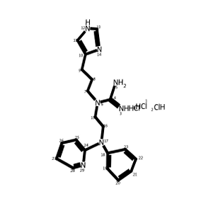 Cl.Cl.Cl.N=C(N)N(CCCc1c[nH]cn1)CCN(c1ccccc1)c1ccccn1